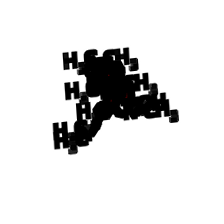 CC[C@]1(O)C[C@H]2CN(CCc3c([nH]c4ccc(C#CCN(C)C)cc34)[C@@](C(=O)OC)(c3cc4c(cc3OC)N(C)[C@@]35O[C@]3(C(=O)OC)[C@H](OC(C)=O)[C@]3(CC)C=CCN6CC[C@]45[C@@H]63)C2)C1